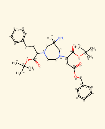 CC1(N)CN(C(CCc2ccccc2)C(=O)OC(C)(C)C)CCN(C(CC(=O)OCc2ccccc2)C(=O)OC(C)(C)C)C1